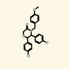 COc1ccc(CN2C(=O)COC(c3ccc(Cl)cc3)C2c2ccc(Cl)cc2)cc1